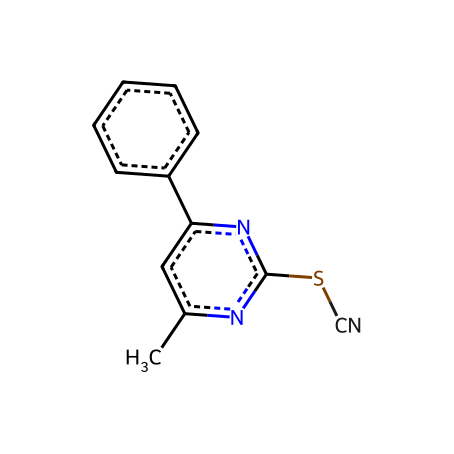 Cc1cc(-c2ccccc2)nc(SC#N)n1